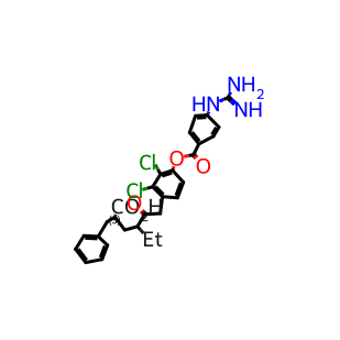 CCC(C[C@@H](Cc1ccccc1)C(=O)O)C(=O)Cc1ccc(OC(=O)c2ccc(NC(=N)N)cc2)c(Cl)c1Cl